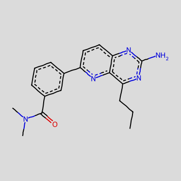 CCCc1nc(N)nc2ccc(-c3cccc(C(=O)N(C)C)c3)nc12